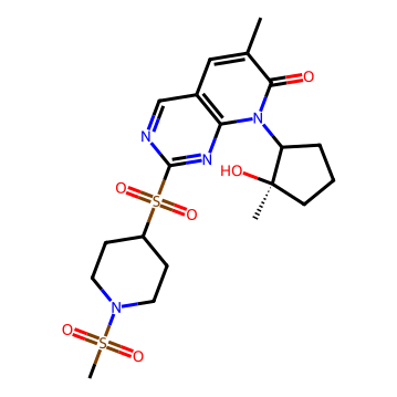 Cc1cc2cnc(S(=O)(=O)C3CCN(S(C)(=O)=O)CC3)nc2n(C2CCC[C@@]2(C)O)c1=O